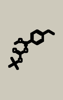 CCc1ccc(B(OC)OC(=O)OC(C)(C)C)cc1